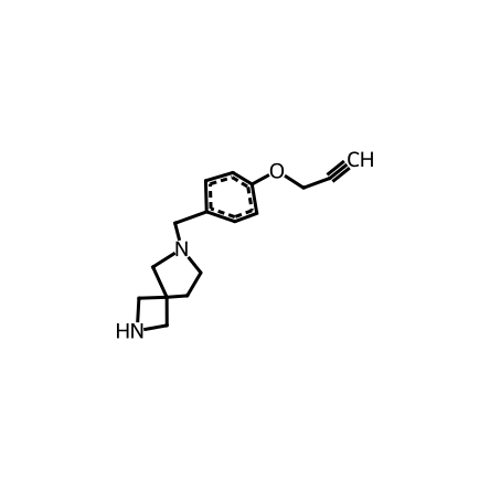 C#CCOc1ccc(CN2CCC3(CNC3)C2)cc1